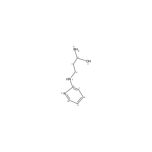 BC(O)CCNc1ccccn1